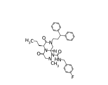 CCC[C@H]1C(=O)N(CCC(c2ccccc2)c2ccccc2)C[C@H]2N1C(=O)CN(C)N2C(=O)NCc1ccc(F)cc1